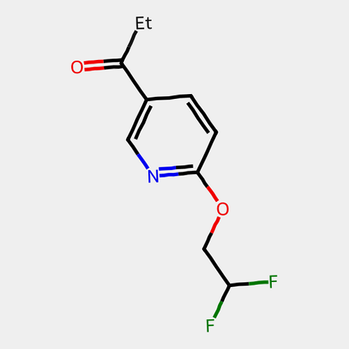 CCC(=O)c1ccc(OCC(F)F)nc1